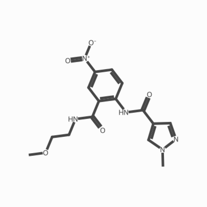 COCCNC(=O)c1cc([N+](=O)[O-])ccc1NC(=O)c1cnn(C)c1